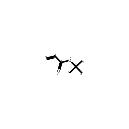 [CH]=CC(=O)OC(C)(C)C